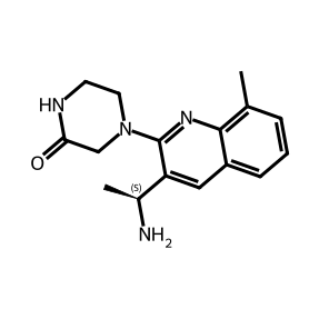 Cc1cccc2cc([C@H](C)N)c(N3CCNC(=O)C3)nc12